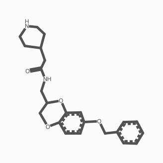 O=C(CC1CCNCC1)NCC1COc2ccc(OCc3ccccc3)cc2O1